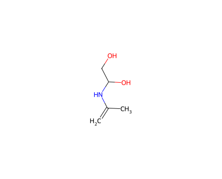 C=C(C)NC(O)CO